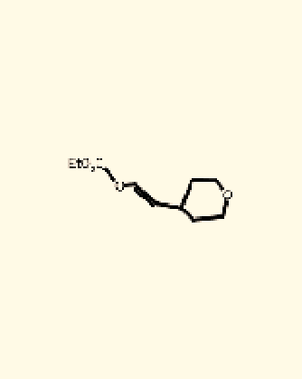 CCOC(=O)OC=CC1CCOCC1